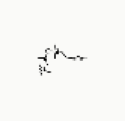 CCCCCCCCCC[Si](C)(C)OC(C)=N[Si](C)(C)C